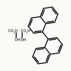 O=C(O)O.O=C(O)O.c1ccc2c(-c3cccc4ccccc34)cccc2c1